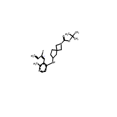 C=C/C(F)=C\c1c(NC2CCC3(C2)CN(C(=O)OC(C)(C)C)C3)ccnc1C